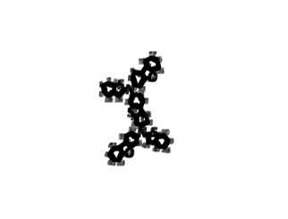 c1ccc2sc(N(c3ccc4c(c3)oc3ccccc34)c3ccc4c(c3)sc3cc(N(c5ccc6c(c5)oc5ccccc56)c5cc6ccccc6s5)cnc34)cc2c1